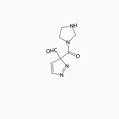 O=CC1(C(=O)N2CCNC2)C=CN=N1